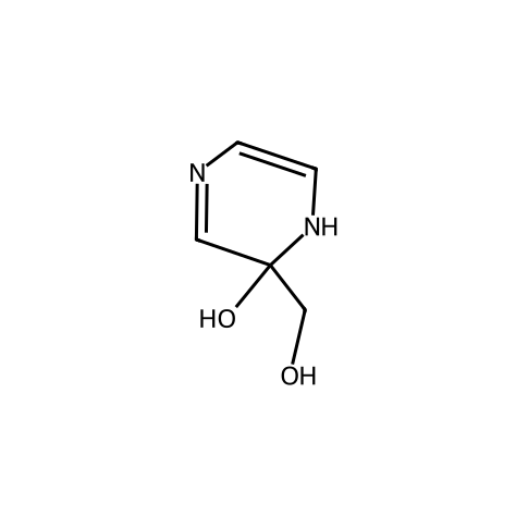 OCC1(O)C=NC=CN1